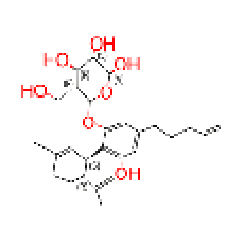 C=CCCCc1cc(O)c([C@@H]2C=C(C)CC[C@H]2C(=C)C)c(OC2O[C@H](O)[C@@H](O)[C@H](O)[C@H]2CO)c1